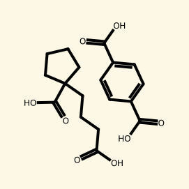 O=C(O)CCCC1(C(=O)O)CCCC1.O=C(O)c1ccc(C(=O)O)cc1